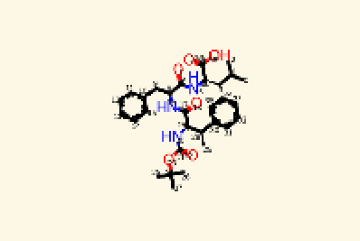 CC(C)C[C@@H](NC(=O)C(Cc1ccccc1)NC(=O)[C@H](NC(=O)OC(C)(C)C)[C@H](C)c1ccccc1)C(=O)O